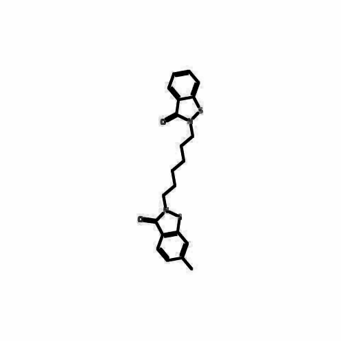 Cc1ccc2c(=O)n(CCCCCCn3sc4ccccc4c3=O)sc2c1